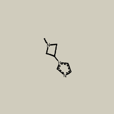 CN1CC(n2ccnc2)C1